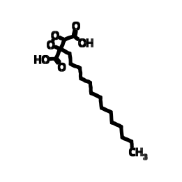 CCCCCCCCCCCCCCC1(C(=O)O)OOC1C(=O)O